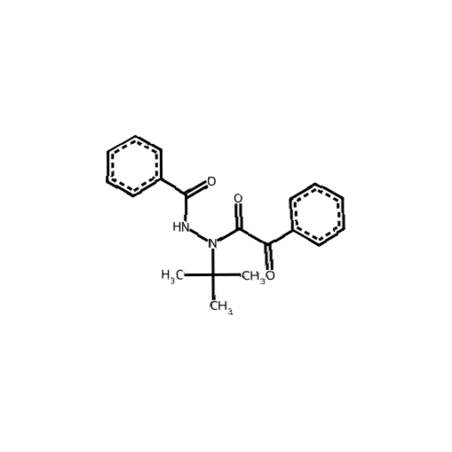 CC(C)(C)N(NC(=O)c1ccccc1)C(=O)C(=O)c1ccccc1